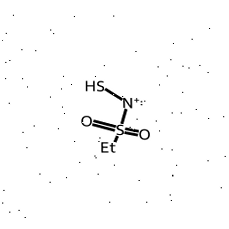 CCS(=O)(=O)[N+]S